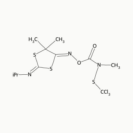 CC(C)N=C1SC(=NOC(=O)N(C)SC(Cl)(Cl)Cl)C(C)(C)S1